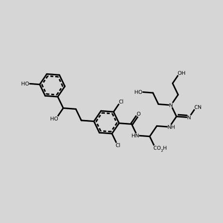 N#C/N=C(/NCC(NC(=O)c1c(Cl)cc(CCC(O)c2cccc(O)c2)cc1Cl)C(=O)O)N(CCO)CCO